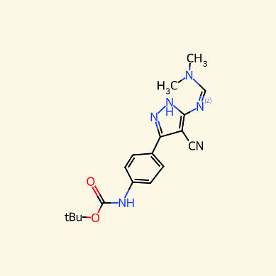 CN(C)/C=N\c1[nH]nc(-c2ccc(NC(=O)OC(C)(C)C)cc2)c1C#N